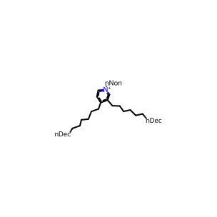 CCCCCCCCCCCCCCCCc1cc[n+](CCCCCCCCC)cc1CCCCCCCCCCCCCCCC